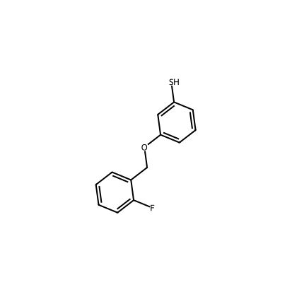 Fc1ccccc1COc1cccc(S)c1